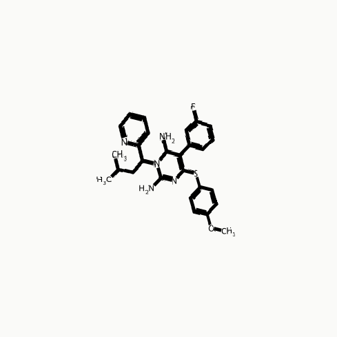 COc1ccc(SC2=C(c3cccc(F)c3)C(N)N(C(CC(C)C)c3ccccn3)C(N)=N2)cc1